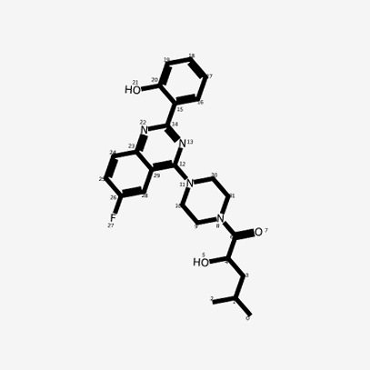 CC(C)CC(O)C(=O)N1CCN(c2nc(-c3ccccc3O)nc3ccc(F)cc23)CC1